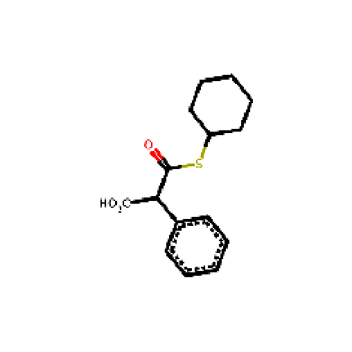 O=C(O)C(C(=O)SC1CCCCC1)c1ccccc1